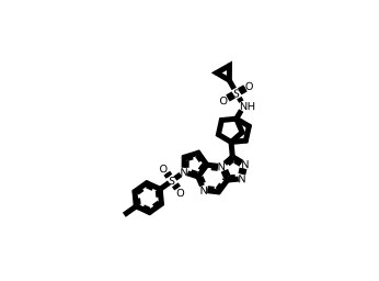 Cc1ccc(S(=O)(=O)n2ccc3c2ncc2nnc(C45CCC(NS(=O)(=O)C6CC6)(CC4)C5)n23)cc1